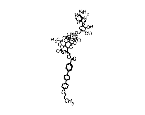 CCCOc1ccc(-c2ccc(-c3ccc(C(=O)OC[C@H](F)C4O[C@@H](OP(=O)(O)OP(O)(=S)OC[C@H]5O[C@@H](n6cnc7c(N)ncnc76)C(O)C5O)C(OC(C)=O)C(OC(C)=O)[C@@H]4OC(C)=O)cc3)cc2)cc1